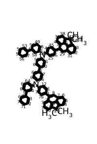 CC1(C)c2cccc3cc(-c4ccc(N(c5ccc(-c6ccc(N(c7ccc(-c8cc9cccc%10c9c9c(cccc89)C%10(C)C)cc7)c7cccc(-c8ccccc8)c7)cc6)cc5)c5cccc(-c6ccccc6)c5)cc4)c4cccc1c4c23